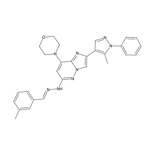 Cc1cccc(C=NNc2cc(N3CCOCC3)c3nc(-c4cnn(-c5ccccc5)c4C)cn3n2)c1